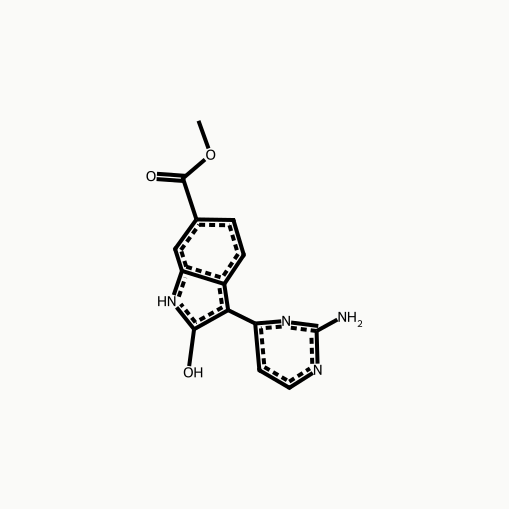 COC(=O)c1ccc2c(-c3ccnc(N)n3)c(O)[nH]c2c1